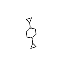 C1CC1N1CCN(C2CC2)CC1